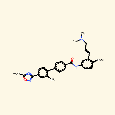 COc1ccc(NC(=O)c2ccc(-c3ccc(-c4noc(C)n4)cc3C)cc2)cc1C=CCN(C)C